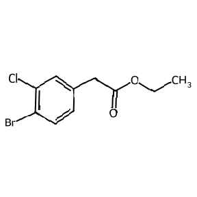 CCOC(=O)Cc1ccc(Br)c(Cl)c1